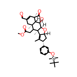 COC(=O)CC1[C@]2(C)C3=C(C)[C@@H](c4cccc(O[Si](C)(C)C(C)(C)C)c4)C[C@H]3O[C@@H]2[C@@H]2OC(=O)[C@]3(C)C=C(C=O)C[C@@]1(C)[C@@H]23